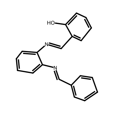 Oc1ccccc1/C=N/c1ccccc1/N=C/c1ccccc1